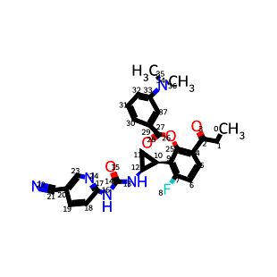 CCC(=O)c1ccc(F)c([C@@H]2C[C@@H]2NC(=O)Nc2ccc(C#N)cn2)c1OC(=O)c1cccc(N(C)C)c1